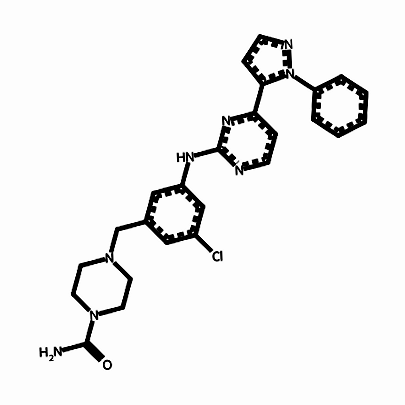 NC(=O)N1CCN(Cc2cc(Cl)cc(Nc3nccc(-c4ccnn4-c4ccccc4)n3)c2)CC1